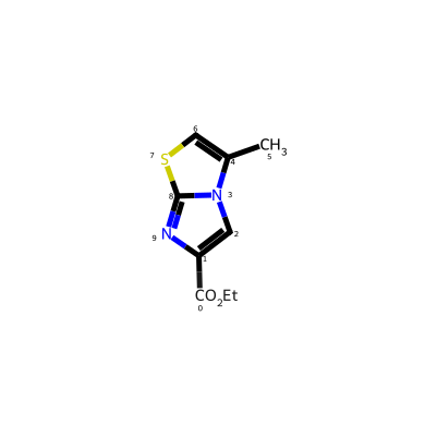 CCOC(=O)c1cn2c(C)csc2n1